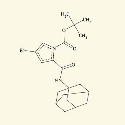 CC(C)(C)OC(=O)n1cc(Br)cc1C(=O)NC12CC3CC(CC(C3)C1)C2